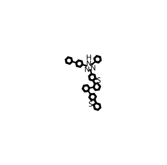 c1ccc(-c2ccc(C3=NC(c4ccc5c(c4)sc4cccc(-c6ccccc6-c6ccc7c(c6)sc6ccccc67)c45)=NC(c4ccccc4)N3)cc2)cc1